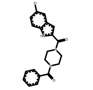 O=C(c1ccccc1)N1CCN(C(=O)c2cc3cc(Cl)ccc3[nH]2)CC1